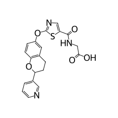 O=C(O)CNC(=O)c1cnc(Oc2ccc3c(c2)CCC(c2cccnc2)O3)s1